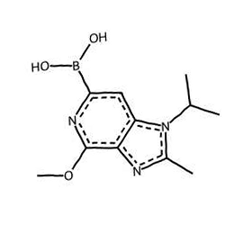 COc1nc(B(O)O)cc2c1nc(C)n2C(C)C